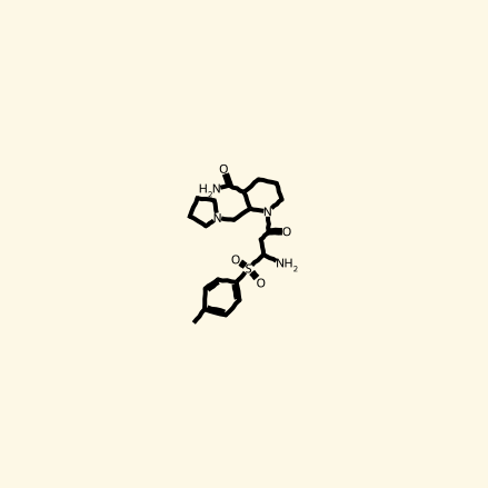 Cc1ccc(S(=O)(=O)C(N)CC(=O)N2CCCC(C(N)=O)C2CN2CCCC2)cc1